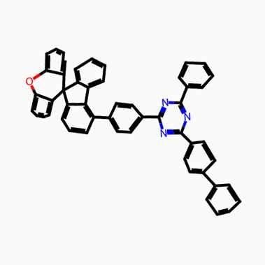 c1ccc(-c2ccc(-c3nc(-c4ccccc4)nc(-c4ccc(-c5cccc6c5-c5ccccc5C65c6ccccc6Oc6ccccc65)cc4)n3)cc2)cc1